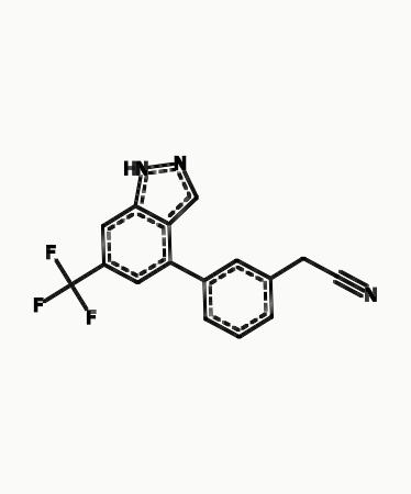 N#CCc1cccc(-c2cc(C(F)(F)F)cc3[nH]ncc23)c1